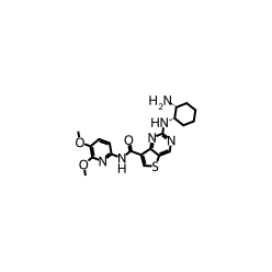 COc1ccc(NC(=O)c2csc3cnc(N[C@H]4CCCC[C@H]4N)nc23)nc1OC